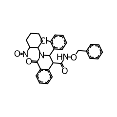 O=NC1CCCCC1N1C(=O)c2ccccc2C(C(=O)NOCc2ccccc2)C1c1ccccc1Cl